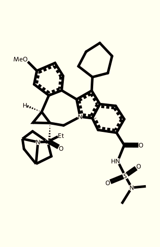 CCN1CC2CC(C1)N2C(=O)[C@]12C[C@H]1c1cc(OC)ccc1-c1c(C3CCCCC3)c3ccc(C(=O)NS(=O)(=O)N(C)C)cc3n1C2